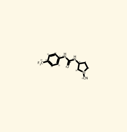 N#CN1CCC(NC(=O)Nc2ccc(C(F)(F)F)cc2)C1